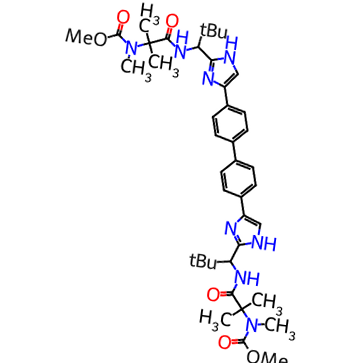 COC(=O)N(C)C(C)(C)C(=O)NC(c1nc(-c2ccc(-c3ccc(-c4c[nH]c(C(NC(=O)C(C)(C)N(C)C(=O)OC)C(C)(C)C)n4)cc3)cc2)c[nH]1)C(C)(C)C